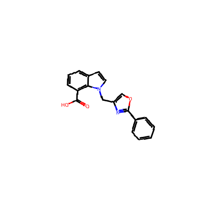 O=C(O)c1cccc2ccn(Cc3coc(-c4ccccc4)n3)c12